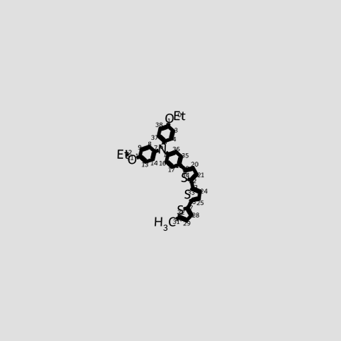 CCOc1ccc(N(c2ccc(OCC)cc2)c2ccc(-c3ccc(-c4ccc(-c5ccc(C)s5)s4)s3)cc2)cc1